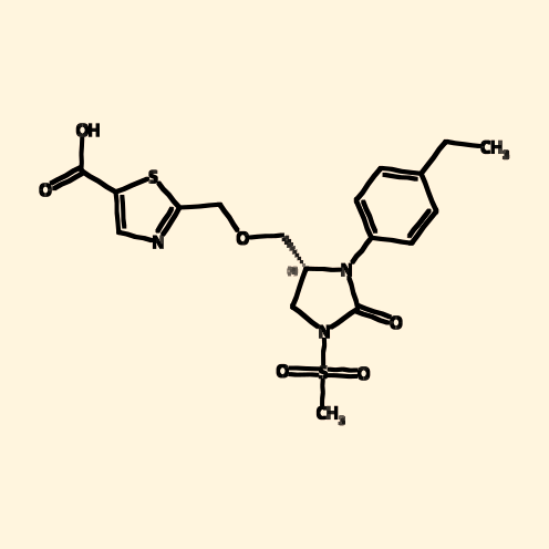 CCc1ccc(N2C(=O)N(S(C)(=O)=O)C[C@@H]2COCc2ncc(C(=O)O)s2)cc1